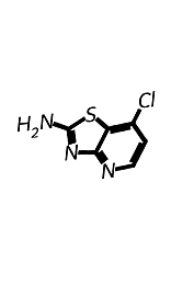 Nc1nc2nccc(Cl)c2s1